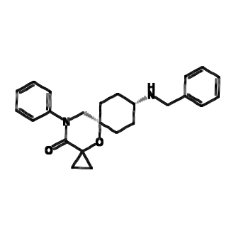 O=C1N(c2ccccc2)C[C@]2(CC[C@@H](NCc3ccccc3)CC2)OC12CC2